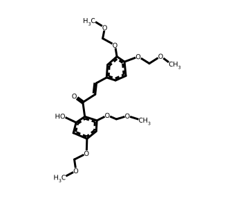 COCOc1cc(O)c(C(=O)C=Cc2ccc(OCOC)c(OCOC)c2)c(OCOC)c1